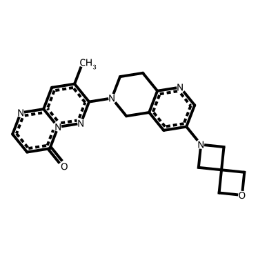 Cc1cc2nccc(=O)n2nc1N1CCc2ncc(N3CC4(COC4)C3)cc2C1